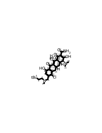 CN(CCC(C)(C)C)Cc1cc(O)c2c(c1Cl)C[C@H]1C[C@H]3[C@H](N(C)C)C(O)=C(C(N)=O)C(=O)[C@@]3(O)C(O)=C1C2=O